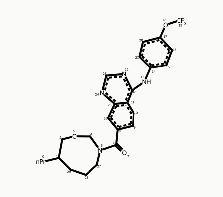 CCCC1CCCN(C(=O)c2ccc3c(Nc4ccc(OC(F)(F)F)cc4)ncnc3c2)CCC1